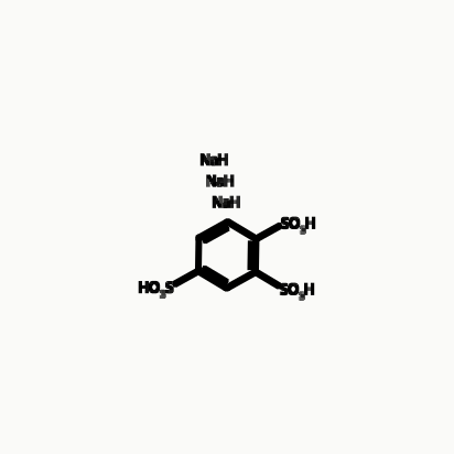 O=S(=O)(O)c1ccc(S(=O)(=O)O)c(S(=O)(=O)O)c1.[NaH].[NaH].[NaH]